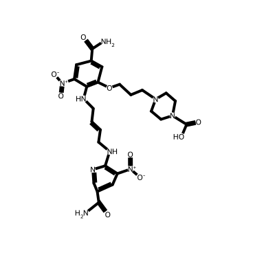 NC(=O)c1cnc(NCC=CCNc2c(OCCCN3CCN(C(=O)O)CC3)cc(C(N)=O)cc2[N+](=O)[O-])c([N+](=O)[O-])c1